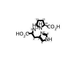 NC(Cc1c[nH]cn1)C(=O)O.O=C(O)[C@@H]1CCCN1